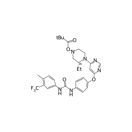 CC[C@@H]1CN(OC(=O)C(C)(C)C)CCN1c1cc(Oc2ccc(NC(=O)Nc3ccc(C)c(C(F)(F)F)c3)cc2)ncn1